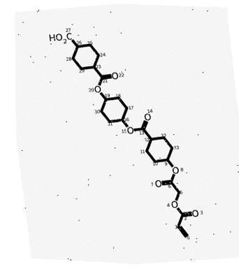 C=CC(=O)OCC(=O)OC1CCC(C(=O)OC2CCC(OC(=O)C3CCC(C(=O)O)CC3)CC2)CC1